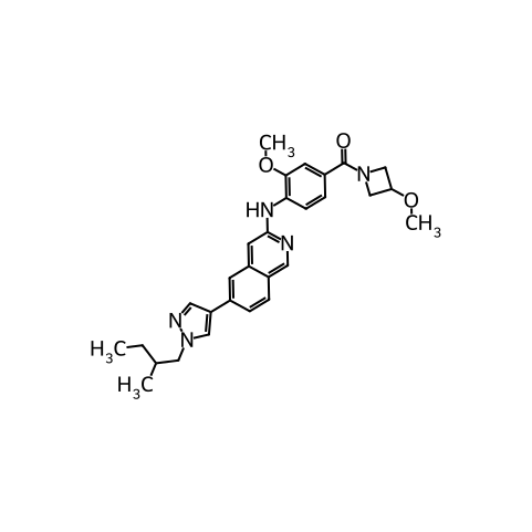 CCC(C)Cn1cc(-c2ccc3cnc(Nc4ccc(C(=O)N5CC(OC)C5)cc4OC)cc3c2)cn1